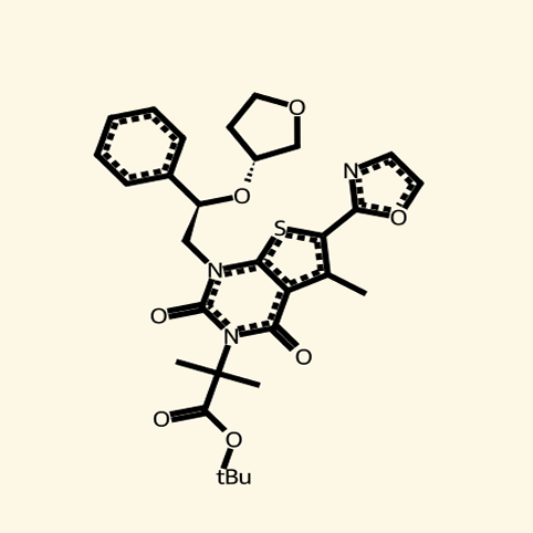 Cc1c(-c2ncco2)sc2c1c(=O)n(C(C)(C)C(=O)OC(C)(C)C)c(=O)n2C[C@H](O[C@@H]1CCOC1)c1ccccc1